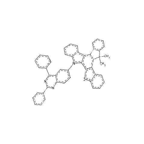 CC1(C)c2ccccc2-c2c1c1c3ccccc3sc1c1c2c2ccccc2n1-c1ccc2nc(-c3ccccc3)nc(-c3ccccc3)c2c1